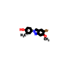 COc1cc2nn([C@H]3CC[C@H](O)[C@@H](C)C3)cc2cc1Br